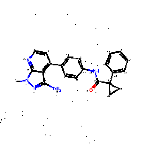 Cn1nc(N)c2c(-c3ccc(NC(=O)C4(c5ccccc5)CC4)cc3)ccnc21